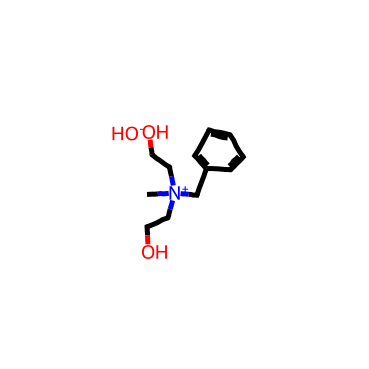 C[N+](CCO)(CCO)Cc1ccccc1.[OH-]